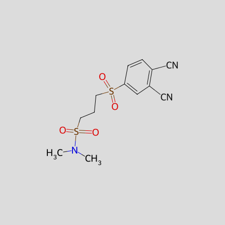 CN(C)S(=O)(=O)CCCS(=O)(=O)c1ccc(C#N)c(C#N)c1